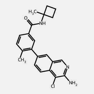 Cc1ccc(C(=O)NC2(C)CCC2)cc1-c1ccc2c(Cl)c(N)ncc2c1